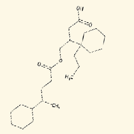 CCCC1(C(COC(=O)CCC(C)C2CCCCC2)CC(=O)O)CCCCC1